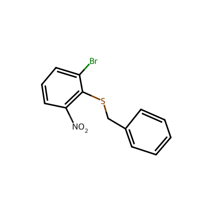 O=[N+]([O-])c1cccc(Br)c1SCc1ccccc1